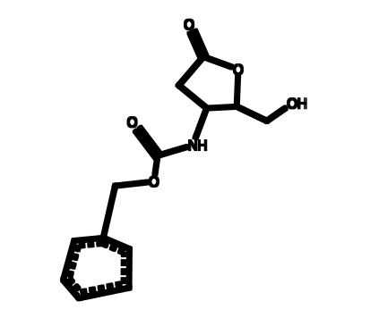 O=C1CC(NC(=O)OCc2ccccc2)C(CO)O1